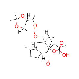 CC(C)C1=C[C@@H]2C[C@@]3(C=O)[C@H]4CC[C@H](C)[C@@H]4C[C@]2(CO[C@H]2C[C@@H]4OC(C)(C)O[C@@H]4[C@@H](C)O2)[C@@]13OC(=O)O